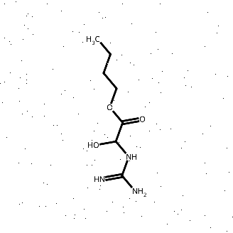 CCCCOC(=O)C(O)NC(=N)N